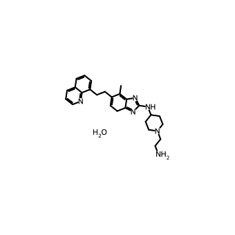 CC1=C2N=C(NC3CCN(CCN)CC3)N=C2CC=C1CCc1cccc2cccnc12.O